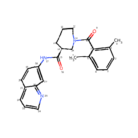 Cc1cccc(C)c1C(=O)N1CCC[C@H](C(=O)Nc2ccc3cccnc3c2)C1